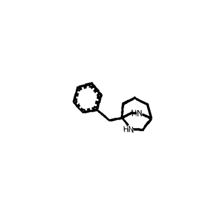 c1ccc(CC23CCCC(CN2)NC3)cc1